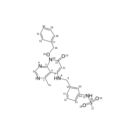 Cc1ncnc2c1c(NCc1cccc(NS(C)(=O)=O)c1)cc(=O)n2OCc1ccccc1